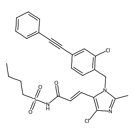 CCCCS(=O)(=O)NC(=O)/C=C/c1c(Cl)nc(C)n1Cc1ccc(C#Cc2ccccc2)cc1Cl